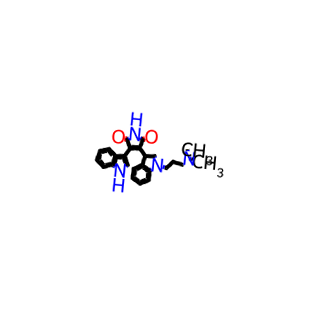 CN(C)CCCN1CC(C2=C(c3c[nH]c4ccccc34)C(=O)NC2=O)c2ccccc21